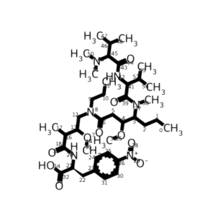 CCCC(C(CC(=O)N(CCC)CC(OC)C(C)C(=O)N[C@@H](Cc1ccc([N+](=O)[O-])cc1)C(=O)O)OC)N(C)C(=O)C(NC(=O)C(C(C)C)N(C)C)C(C)C